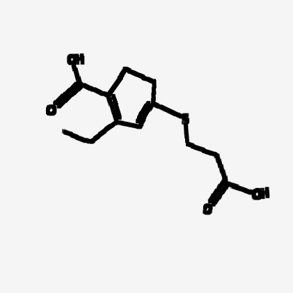 CCC1=C(C(=O)O)CCC(SCCC(=O)O)=C1